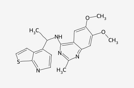 COc1cc2nc(C)nc(NC(C)c3ccnc4sccc34)c2cc1OC